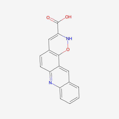 O=C(O)C1=Cc2ccc3nc4ccccc4cc3c2ON1